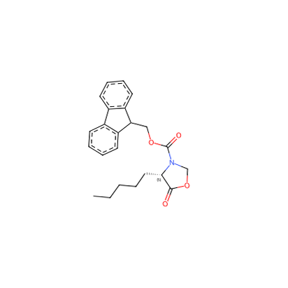 CCCCC[C@H]1C(=O)OCN1C(=O)OCC1c2ccccc2-c2ccccc21